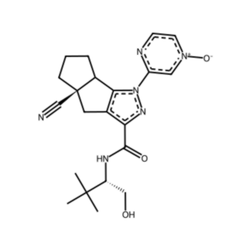 CC(C)(C)[C@@H](CO)NC(=O)c1nn(-c2c[n+]([O-])ccn2)c2c1C[C@]1(C#N)CCCC21